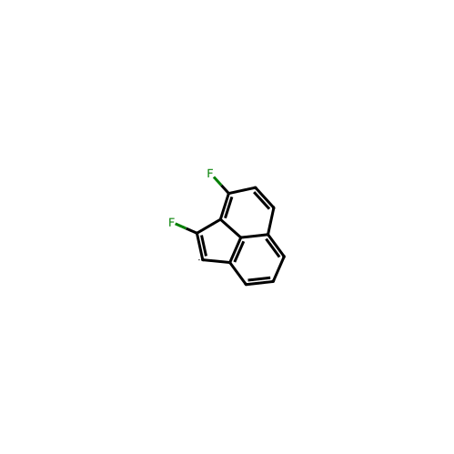 FC1=[C]c2cccc3ccc(F)c1c23